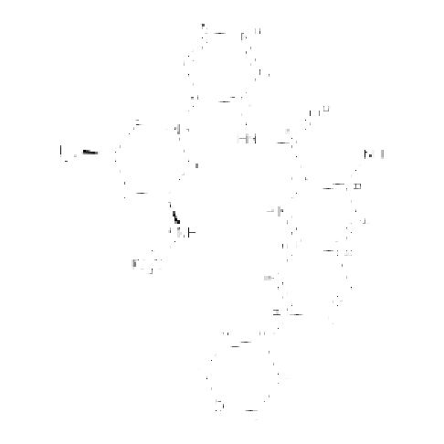 C[C@@H]1C[C@H](NC(=O)O)CN(c2ccncc2NC(=O)c2nc3cc(C4=CCOCC4)ccc3cc2N)C1